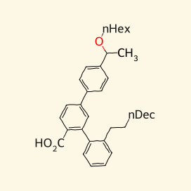 CCCCCCCCCCCCc1ccccc1-c1cc(-c2ccc(C(C)OCCCCCC)cc2)ccc1C(=O)O